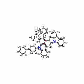 CC1(C)c2ccccc2-c2ccc(N(c3ccc(-c4ccccc4)cc3)c3ccccc3-c3ccc4c5cccc6c7ccccc7n(c4c3)c65)cc21